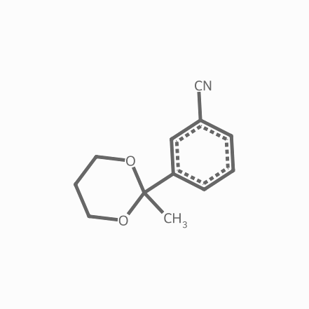 CC1(c2cccc(C#N)c2)OCCCO1